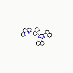 c1ccc2c(-c3cc(-c4ccc(-c5ccc6ccc7cccnc7c6n5)c5ccccc45)nc(-c4cccc5ccccc45)n3)cccc2c1